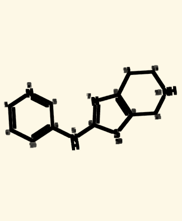 c1cncc(Nc2nc3c(s2)CNCC3)c1